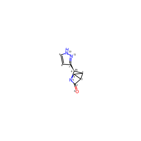 O=C1C2C3C2N1[C@H]3c1cc[nH]n1